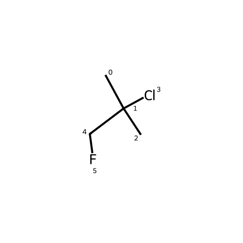 CC(C)(Cl)CF